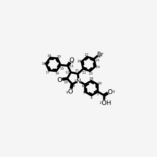 O=C(O)c1ccc(N2C(=O)C(=O)C(C(=O)c3ccccc3)C2c2ccc(Br)cc2)cc1